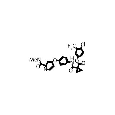 CNC(=O)c1cc(Oc2ccc(NC(=O)C3(C(=O)Oc4ccc(Cl)c(C(F)(F)F)c4)CC3)cc2)ccn1